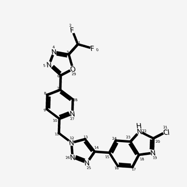 FC(F)c1nnc(-c2ccc(Cn3cc(-c4ccc5nc(Cl)[nH]c5c4)nn3)nc2)o1